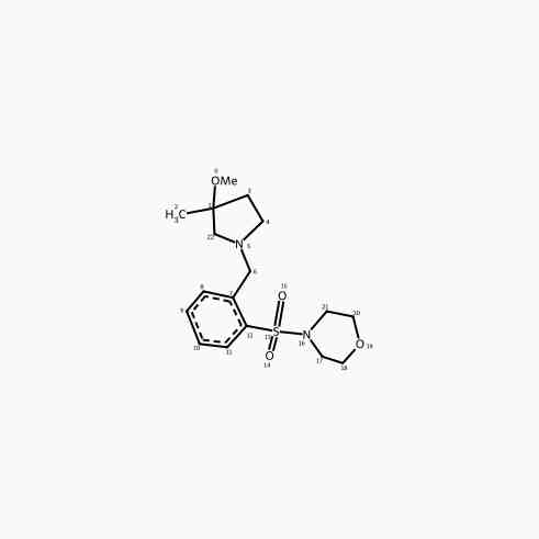 COC1(C)CCN(Cc2ccccc2S(=O)(=O)N2CCOCC2)C1